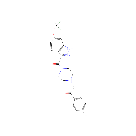 O=C(CN1CCN(C(=O)c2n[nH]c3cc(OC(F)(F)F)ccc23)CC1)c1ccc(F)cc1